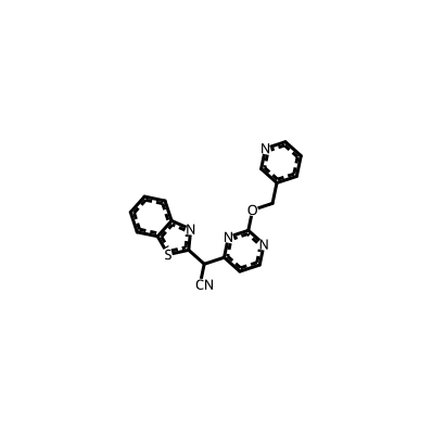 N#CC(c1ccnc(OCc2cccnc2)n1)c1nc2ccccc2s1